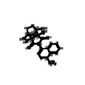 O=C1[C@@H]2[C@H](C(=O)N1c1ccc([N+](=O)[O-])c3ccccc13)[C@@H]1CC[C@H]2N1